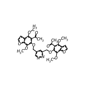 COc1c(C(C)=O)c(OCc2cnnc(COc3c(C(C)=O)c(OC)c4ccoc4c3OC)c2)c(OC)c2occc12